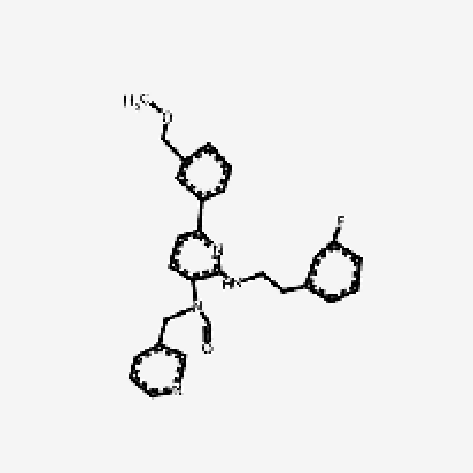 COCc1cccc(-c2ccc(N(C=O)Cc3cccnc3)c(NCCc3cccc(F)c3)n2)c1